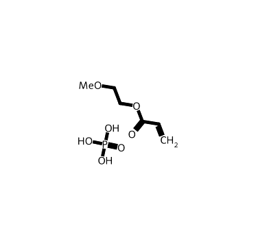 C=CC(=O)OCCOC.O=P(O)(O)O